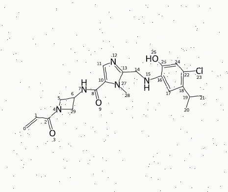 C=CC(=O)N1CC(NC(=O)c2cnc(CNc3cc(C(C)C)c(Cl)cc3O)n2C)C1